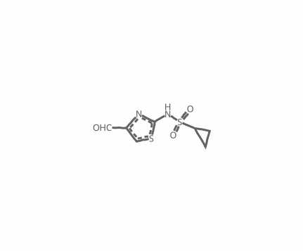 O=Cc1csc(NS(=O)(=O)C2CC2)n1